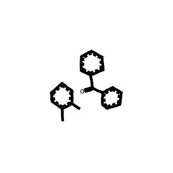 Cc1ccccc1C.O=C(c1ccccc1)c1ccccc1